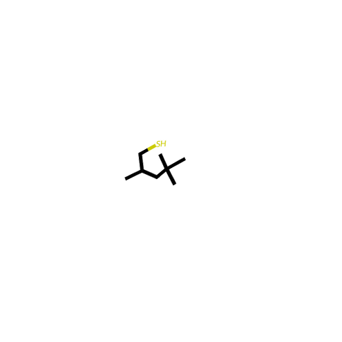 CC([CH]C(C)(C)C)CS